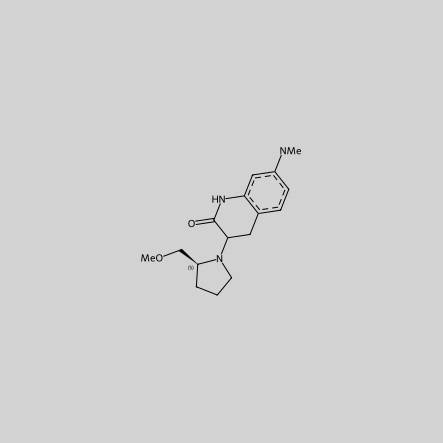 CNc1ccc2c(c1)NC(=O)C(N1CCC[C@H]1COC)C2